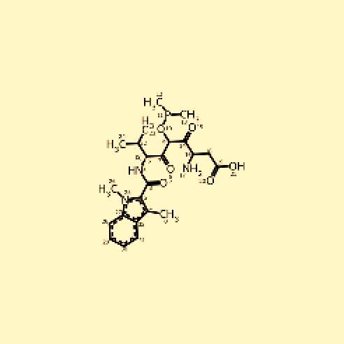 Cc1c(C(=O)N[C@H](C(=O)C(OP(C)C)C(=O)C(N)CC(=O)O)C(C)C)n(C)c2ccccc12